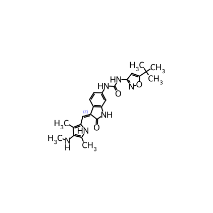 CNc1c(C)[nH]c(/C=C2\C(=O)Nc3cc(NC(=O)Nc4cc(C(C)(C)C)on4)ccc32)c1C